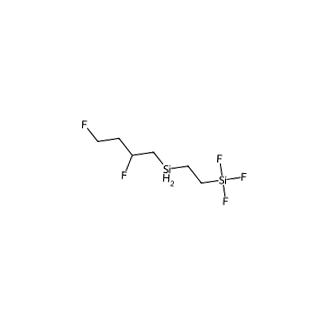 FCCC(F)C[SiH2]CC[Si](F)(F)F